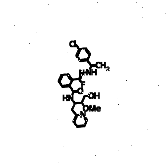 C=C(N/N=C(\F)c1ccccc1C(=O)N[C@H](Cc1ccccn1)[C@@H](CO)OC)c1ccc(Cl)cc1